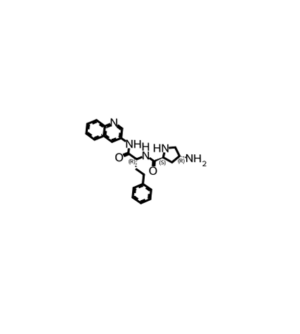 N[C@H]1CN[C@H](C(=O)N[C@H](CCc2ccccc2)C(=O)Nc2cnc3ccccc3c2)C1